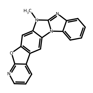 Cn1c2cc3oc4ncccc4c3cc2n2c3ccccc3nc12